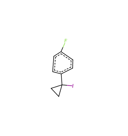 Fc1ccc(C2(I)CC2)cc1